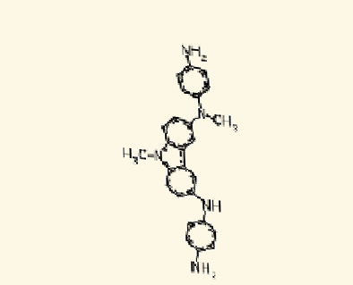 CN(c1ccc(N)cc1)c1ccc2c(c1)c1cc(Nc3ccc(N)cc3)ccc1n2C